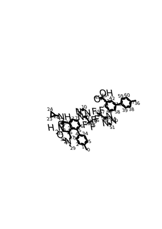 Cc1ccc(-c2cc(-n3ncnc3C(F)(F)F)cc(C(=O)NC3CC3)c2C(CN(C)C)C(N)=O)cc1.Cc1ccc(-c2cc(C(=O)O)cc(-n3ncnc3C(F)(F)F)c2)cc1